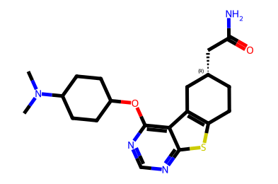 CN(C)C1CCC(Oc2ncnc3sc4c(c23)C[C@H](CC(N)=O)CC4)CC1